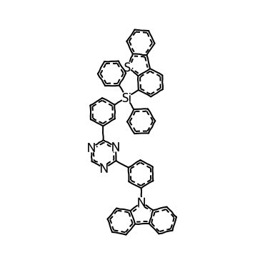 c1ccc([Si](c2ccccc2)(c2cccc(-c3ncnc(-c4cccc(-n5c6ccccc6c6ccccc65)c4)n3)c2)c2cccc3c2sc2ccccc23)cc1